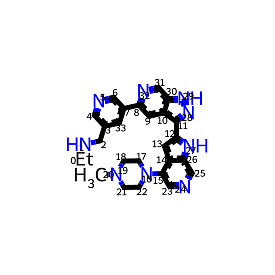 CCNCc1cncc(-c2cc3c(-c4cc5c(N6CCN(C)CC6)cncc5[nH]4)n[nH]c3cn2)c1